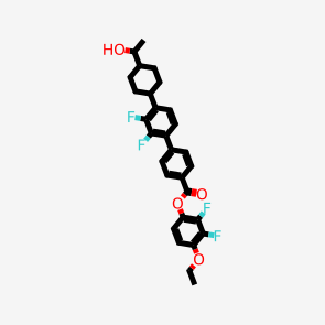 CCOc1ccc(OC(=O)c2ccc(-c3ccc(C4CCC(C(C)O)CC4)c(F)c3F)cc2)c(F)c1F